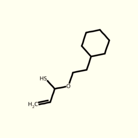 C=CC(S)OCCC1CCCCC1